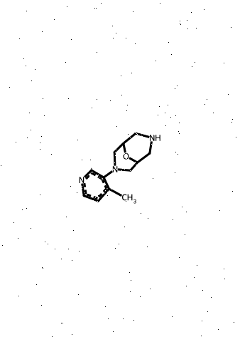 Cc1ccn[c]c1N1CC2CNCC(C1)O2